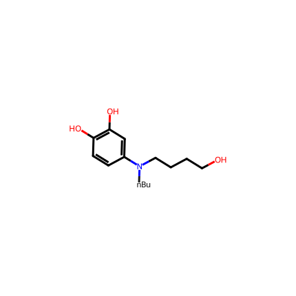 CCCCN(CCCCO)c1ccc(O)c(O)c1